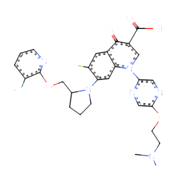 CN(C)CCOc1cnc(-n2cc(C(=O)O)c(=O)c3cc(F)c(N4CCCC4COc4ncccc4Cl)cc32)cn1